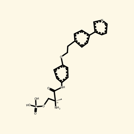 C[C@](N)(COP(=O)(O)O)C(=O)Nc1ccc(OCCc2ccc(-c3cccnc3)cc2)cc1